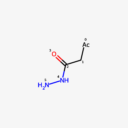 CC(=O)CC(=O)NN